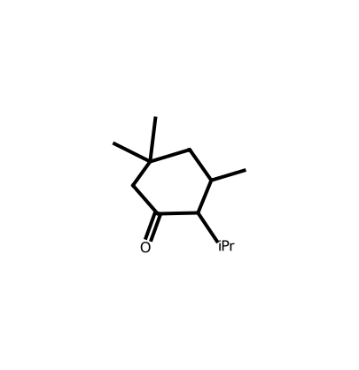 CC(C)C1C(=O)CC(C)(C)CC1C